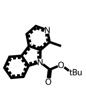 Cc1nccc2c3ccccc3n(C(=O)OC(C)(C)C)c12